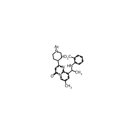 CC(=O)N1CCC(c2cc(=O)n3cc(C)cc(C(C)Nc4ccccc4C(=O)O)c3n2)CC1